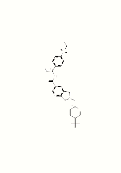 CCS(=O)(=O)c1ccc([C@H](CO)NC(=O)c2cnc3c(c2)CN(C[C@H]2CCC(C(F)(F)F)CO2)C3)cc1